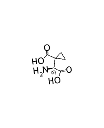 N[C@H](C(=O)O)C1(C(=O)O)CC1